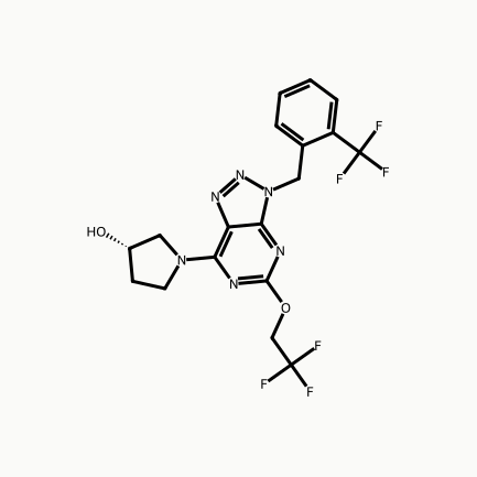 O[C@H]1CCN(c2nc(OCC(F)(F)F)nc3c2nnn3Cc2ccccc2C(F)(F)F)C1